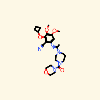 COc1cc(N=C(C)N2CCCN(C(=O)N3CCOCC3)CC2)c(C#N)c(OC2CCC2)c1OC